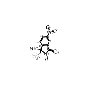 CC1(C)NC(=O)c2cc([N+](=O)[O-])ccc21